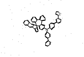 c1ccc(-c2ccc(N(c3ccc(-c4cccc(-c5ccco5)c4)cc3)c3ccc4c(c3)-c3ccccc3-c3ccccc3C43c4ccccc4-c4cc5ccccc5cc43)cc2)cc1